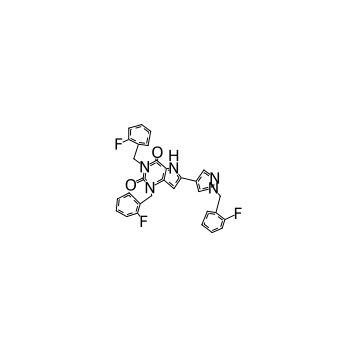 O=c1c2[nH]c(-c3cnn(Cc4ccccc4F)c3)cc2n(Cc2ccccc2F)c(=O)n1Cc1ccccc1F